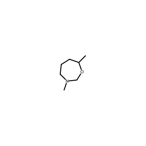 CC1CCCN(C)CO1